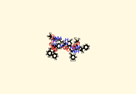 CC(C)C[C@@H](NC(=O)[C@@H](Cc1ccccc1)NC(=O)CN(CC1(c2ccccc2)CC1)C(=O)OC(C)(C)C)C(=O)N[C@H](CCCCNC(=O)OC(C)(C)C)C(=O)N1CCC(NC(=O)OCc2ccccc2)(C(=O)OCc2ccccc2)CC1